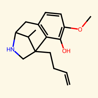 C=CCCC12CNC(Cc3ccc(OC)c(O)c31)C2C